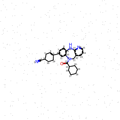 N#CC1CC=C(c2ccc3c(c2)N(C(=O)C2CCCCC2)Cc2cccnc2N3)CC1